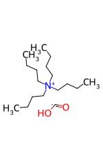 CCCC[N+](CCCC)(CCCC)CCCC.O=[C]O